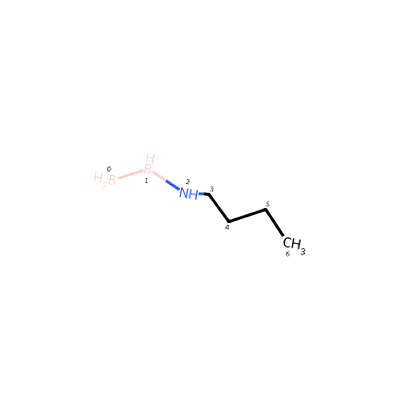 BBNCCCC